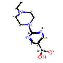 CCN1CCN(c2ncc(B(O)O)cn2)CC1